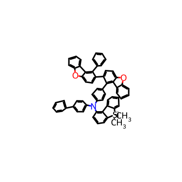 C[Si]1(C)c2ccccc2-c2c(N(c3ccc(-c4ccccc4)cc3)c3ccc(-c4c(-c5ccc6oc7ccccc7c6c5-c5ccccc5)ccc5oc6ccccc6c45)cc3)cccc21